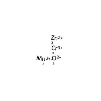 [Cr+3].[Mn+2].[O-2].[Zn+2]